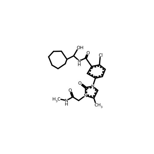 CNC(=O)Cn1c(C)cn(-c2ccc(Cl)c(C(=O)NC(O)C3CCCCCC3)c2)c1=O